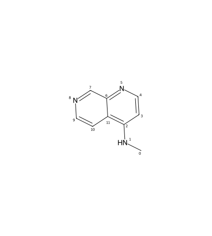 CNc1ccnc2cnccc12